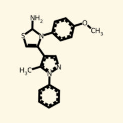 COc1ccc(N2C(c3cnn(-c4ccccc4)c3C)=CSC2N)cc1